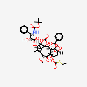 CCSC(=O)O[C@H]1C[C@H]2OC[C@@]2(OC(C)=O)[C@H]2[C@H](OC(=O)c3ccccc3)[C@]34OC(=O)O[C@H]3[C@H](OC(=O)[C@H](O)[C@@H](NC(=O)OC(C)(C)C)c3ccccc3)C(C)=C([C@@H](OC)C(=O)[C@]12C)C4(C)C